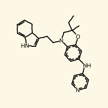 CCC1(C)CN(CCC2=CNC3=CC=CCC23)c2ccc(Nc3ccncc3)cc2O1